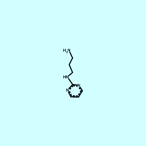 NCCCNc1ncccn1